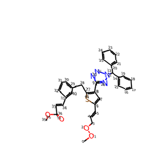 COOC/C=C/c1cc(-c2nnn(C(c3ccccc3)c3ccccc3)n2)c(Cc2cccc(/C=C/C(=O)OC)c2)s1